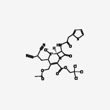 CC(=O)OCC1=C(C(=O)OCC(Cl)(Cl)Cl)N2C(=O)C(NC(=O)Cc3cccs3)[C@@H]2[S+]([O-])C1CC(C#N)C#N